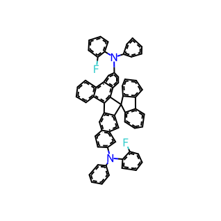 Fc1ccccc1N(c1ccccc1)c1ccc2cc3c(cc2c1)C1(c2ccccc2-c2ccccc21)c1c-3c2ccccc2c2cc(N(c3ccccc3)c3ccccc3F)ccc12